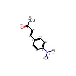 CCN(CC)c1ccc(C=CC(=O)C(C)(C)C)cc1